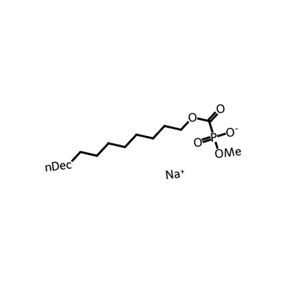 CCCCCCCCCCCCCCCCCCOC(=O)P(=O)([O-])OC.[Na+]